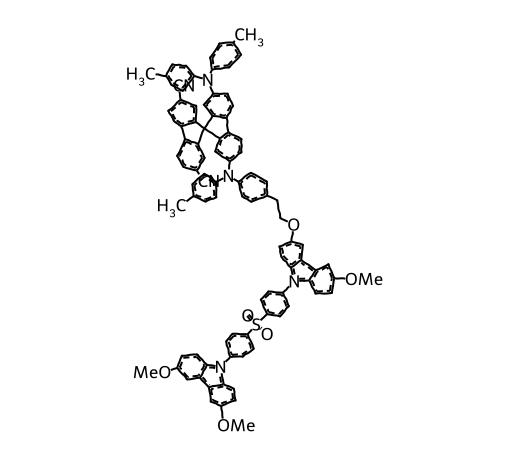 COc1ccc2c(c1)c1cc(OC)ccc1n2-c1ccc(S(=O)(=O)c2ccc(-n3c4ccc(OC)cc4c4cc(OCCc5ccc(N(c6ccc(C)cc6)c6ccc7c(c6)C6(c8cc(C#N)ccc8-c8ccc(C#N)cc86)c6cc(N(c8ccc(C)cc8)c8ccc(C)cc8)ccc6-7)cc5)ccc43)cc2)cc1